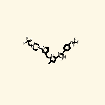 Cc1cc(-c2nc(-c3ccc(OC(F)(F)F)cc3)no2)nn1Cc1ccnc(N2CCN(CC(F)(F)F)CC2)c1